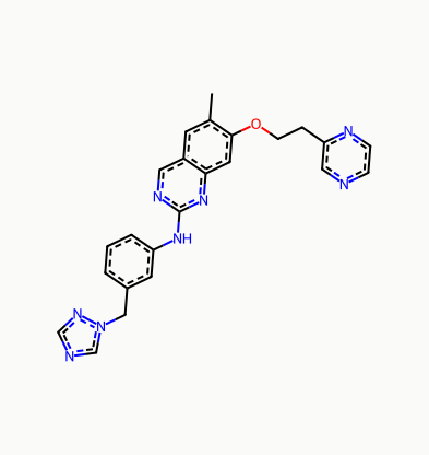 Cc1cc2cnc(Nc3cccc(Cn4cncn4)c3)nc2cc1OCCc1cnccn1